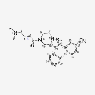 CN(C)C/C=C/C(=O)N1CCn2nc(-c3cccc(C#N)c3)c(-c3ccncc3)c2C1